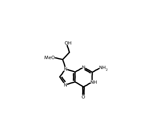 COC(CO)n1cnc2c(=O)[nH]c(N)nc21